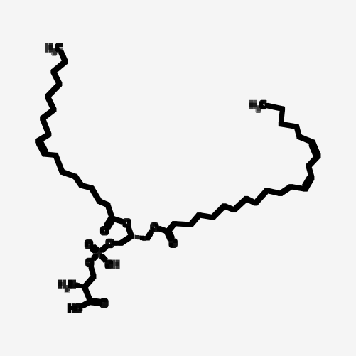 CCCCC/C=C\C/C=C\CCCCCCCCCCCC(=O)OC[C@H](COP(=O)(O)OC[C@H](N)C(=O)O)OC(=O)CCCCCCC/C=C\CCCCCCCC